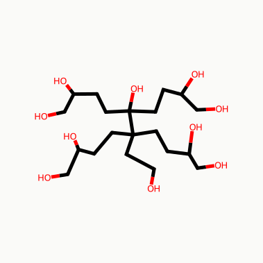 OCCC(CCC(O)CO)(CCC(O)CO)C(O)(CCC(O)CO)CCC(O)CO